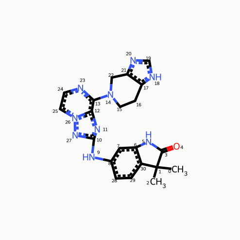 CC1(C)C(=O)Nc2cc(Nc3nc4c(N5CCc6[nH]cnc6C5)nccn4n3)ccc21